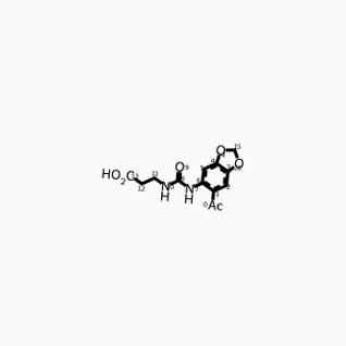 CC(=O)c1cc2c(cc1NC(=O)NCCC(=O)O)OCO2